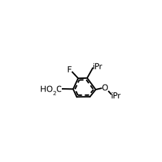 CC(C)Oc1ccc(C(=O)O)c(F)c1C(C)C